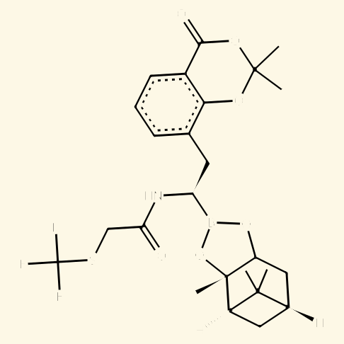 CC1(C)OC(=O)c2cccc(C[C@H](NC(=O)CSC(F)(F)F)B3OC4C[C@@H]5C[C@H](C5(C)C)[C@]4(C)O3)c2O1